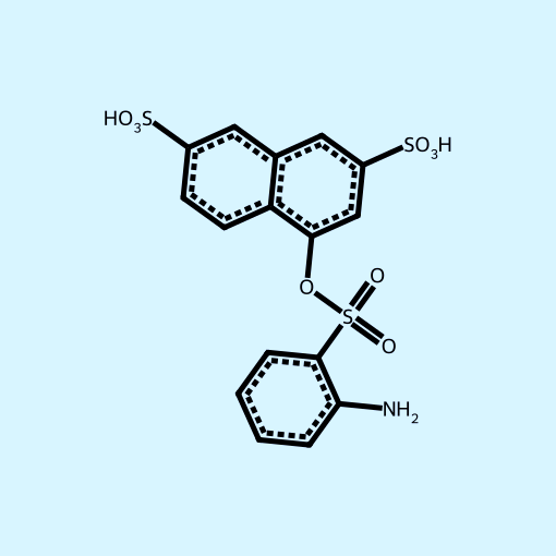 Nc1ccccc1S(=O)(=O)Oc1cc(S(=O)(=O)O)cc2cc(S(=O)(=O)O)ccc12